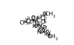 COc1cc(F)c([C@@H]2CN(c3cncn(C4CCN(C)C4)c3=O)C(=O)C2CNC(=O)c2ccc(Cl)cc2)c(F)c1